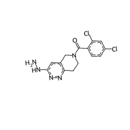 NNc1cc2c(nn1)CCN(C(=O)c1ccc(Cl)cc1Cl)C2